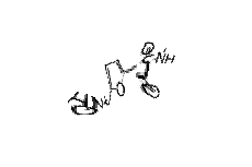 CNS(=O)(=O)c1ccc(C=[NH+][O-])o1